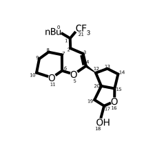 CCCCC(CC=C(OC1CCCCO1)[C@H]1CCC2OC(O)CC21)C(F)(F)F